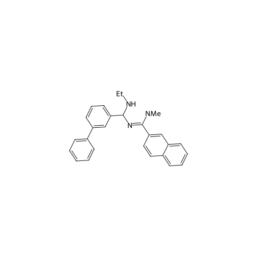 CCNC(/N=C(\NC)c1ccc2ccccc2c1)c1cccc(-c2ccccc2)c1